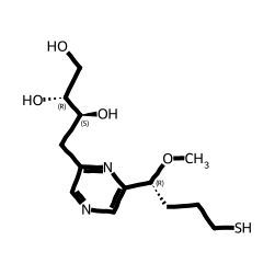 CO[C@H](CCCS)c1cncc(C[C@H](O)[C@H](O)CO)n1